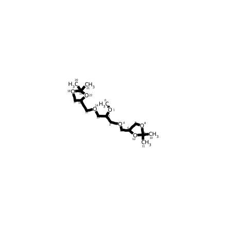 COC(COCC1COC(C)(C)O1)COCC1COC(C)(C)O1